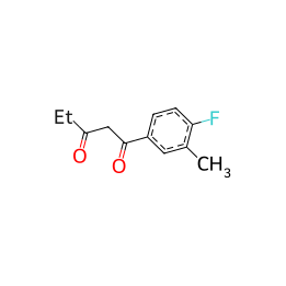 CCC(=O)CC(=O)c1ccc(F)c(C)c1